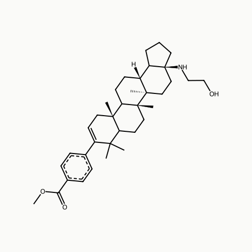 COC(=O)c1ccc(C2=CC[C@@]3(C)C(CC[C@]4(C)C3CC[C@@H]3C5CCC[C@]5(NCCO)CC[C@]34C)C2(C)C)cc1